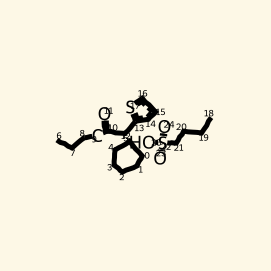 C1CCCCC1.CCCCC(=O)Cc1cccs1.CCCCS(=O)(=O)O